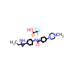 CCC1(N)CC1c1ccc(NC(=O)c2ccc(N3CCN(C)CC3)cc2)cc1.O=C(O)C(F)(F)F